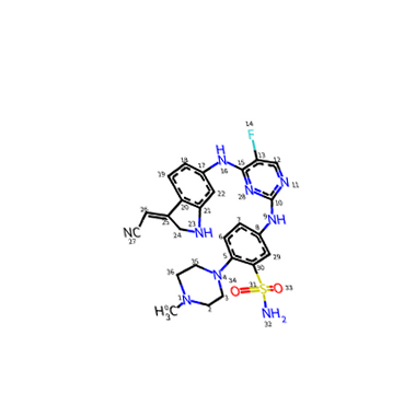 CN1CCN(c2ccc(Nc3ncc(F)c(Nc4ccc5c(c4)NCC5=CC#N)n3)cc2S(N)(=O)=O)CC1